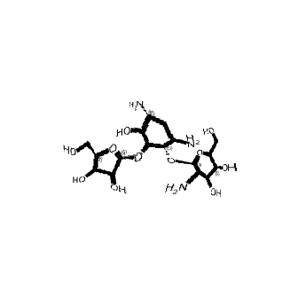 NC1C(O)[C@H](O)C(CO)O[C@@H]1O[C@H]1C(N)C[C@@H](N)C(O)C1O[C@@H]1O[C@H](CO)C(O)C1O